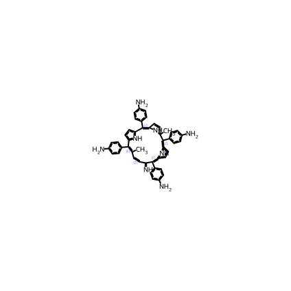 CC1=C(/c2ccc(N)cc2)c2ccc([nH]2)/C(c2ccc(N)cc2)=C2/C=CC(C)(N2)/C(c2ccc(N)cc2)=c2/cc/c([nH]2)=C(\c2ccc(N)cc2)C(=N)/C=C\1